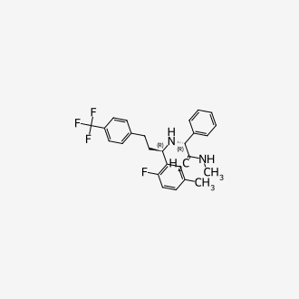 C=C(NC)[C@H](N[C@H](CCc1ccc(C(F)(F)F)cc1)c1cc(C)ccc1F)c1ccccc1